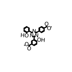 COC(=O)c1ccc(-c2nc(-c3ccccc3O)nc(-c3cc(C(=O)OC)ccc3O)n2)cc1